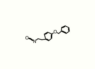 O=C=NCCc1ccc(OCc2ccccc2)cc1